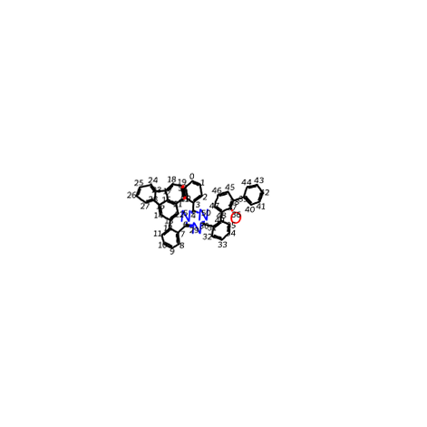 c1ccc(-c2nc(-c3ccccc3-c3cc4c5c(cccc5c3)-c3ccccc3-4)nc(-c3cccc4oc5c(-c6ccccc6)cccc5c34)n2)cc1